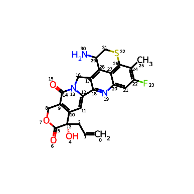 C=CC[C@@]1(O)C(=O)OCc2c1cc1n(c2=O)Cc2c-1nc1cc(F)c(C)c3c1c2C(N)CS3